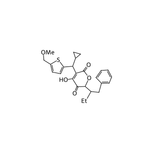 CCC(Cc1ccccc1)C1OC(=O)C(C(c2ccc(COC)s2)C2CC2)=C(O)C1=O